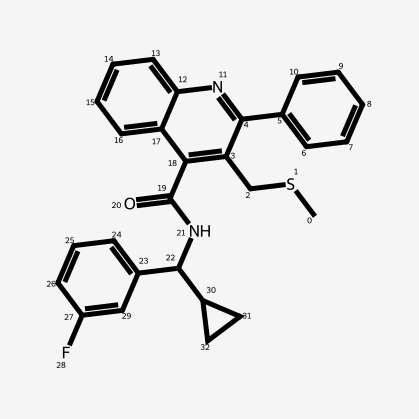 CSCc1c(-c2ccccc2)nc2ccccc2c1C(=O)NC(c1cccc(F)c1)C1CC1